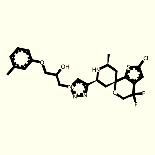 Cc1cccc(OCC(O)Cn2cc([C@@H]3C[C@]4(C[C@H](C)N3)OCC(F)(F)c3cc(Cl)sc34)nn2)c1